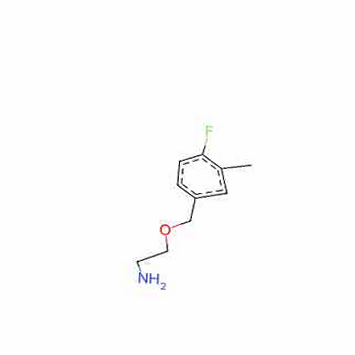 Cc1cc(COCCN)ccc1F